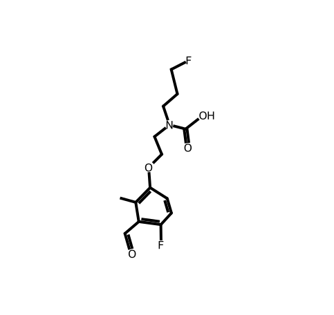 Cc1c(OCCN(CCCF)C(=O)O)ccc(F)c1C=O